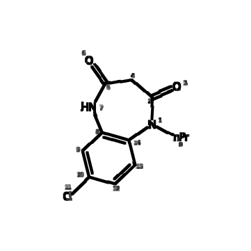 CCCN1C(=O)CC(=O)Nc2cc(Cl)ccc21